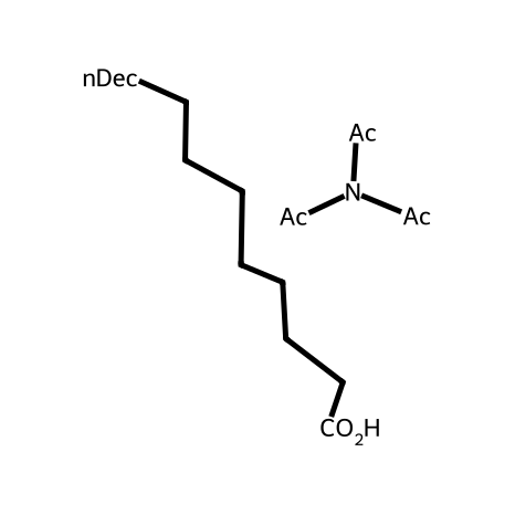 CC(=O)N(C(C)=O)C(C)=O.CCCCCCCCCCCCCCCCCC(=O)O